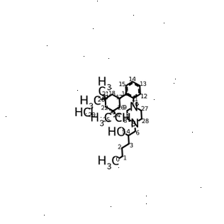 CCCCC(O)CN1CCN(c2ccccc2C2CC(C)(C)CC(C)(C)C2)CC1.Cl